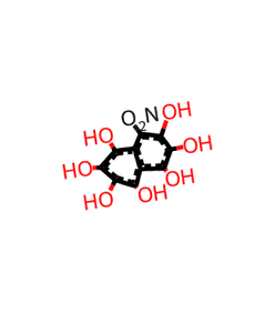 O=[N+]([O-])c1c(O)c(O)c(O)c2c(O)c(O)c(O)c(O)c12